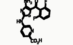 Nc1nc(Nc2ccc(C(=O)O)nc2)sc1C(=O)c1c(F)cccc1F